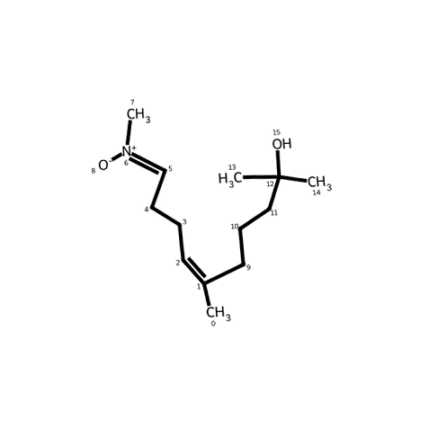 CC(=CCCC=[N+](C)[O-])CCCC(C)(C)O